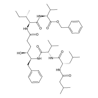 CC[C@H](C)[C@H](NC(=O)CC[C@H](O)[C@H](Cc1ccccc1)NC(=O)[C@@H](NC(=O)[C@H](CC(C)C)NC(=O)CC(C)C)C(C)C)C(=O)N[C@H](C(=O)OCc1ccccc1)C(C)C